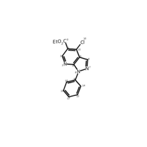 CCOC(=O)c1cnc2c(cnn2-c2ccccc2)c1Cl